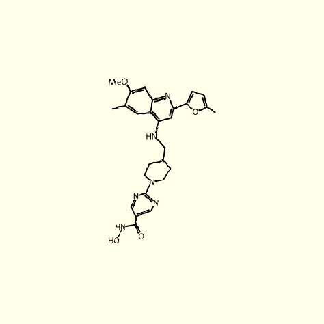 COc1cc2nc(-c3ccc(C)o3)cc(NCC3CCN(c4ncc(C(=O)NO)cn4)CC3)c2cc1C